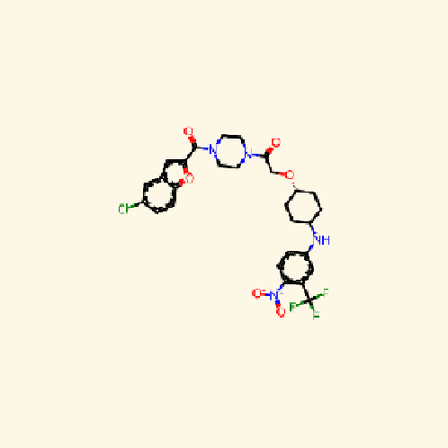 O=C(CO[C@H]1CC[C@H](Nc2ccc([N+](=O)[O-])c(C(F)(F)F)c2)CC1)N1CCN(C(=O)c2cc3cc(Cl)ccc3o2)CC1